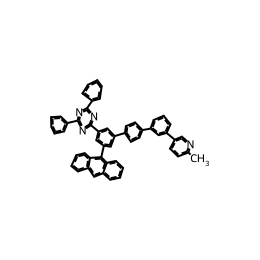 Cc1ccc(-c2cccc(-c3ccc(-c4cc(-c5nc(-c6ccccc6)nc(-c6ccccc6)n5)cc(-c5c6ccccc6cc6ccccc56)c4)cc3)c2)cn1